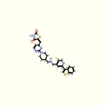 O=C1NC(=O)/C(=C\c2ccnc(N3CCC(CNCc4cc(-c5csc6ccccc56)ncc4F)CC3)n2)S1